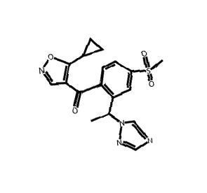 CC(c1cc(S(C)(=O)=O)ccc1C(=O)c1cnoc1C1CC1)n1cncn1